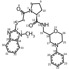 Cn1c(SCC(=O)N2CCC[C@H]2C(=O)NCC2CN(c3ccccc3)CCO2)nc2ccccc21